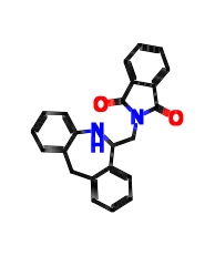 O=C1c2ccccc2C(=O)N1CC1Nc2ccccc2Cc2ccccc21